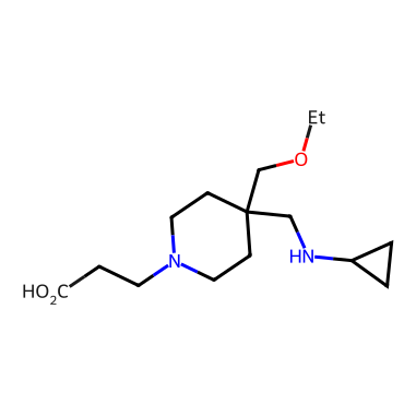 CCOCC1(CNC2CC2)CCN(CCC(=O)O)CC1